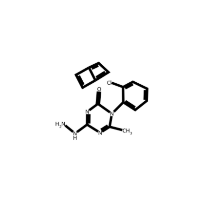 Cc1nc(NN)nc(=O)n1-c1ccccc1Cl.c1cc2ccc1-2